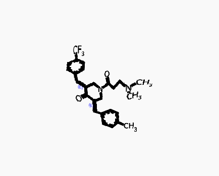 Cc1ccc(/C=C2\CN(C(=O)CCN(C)C)C/C(=C\c3ccc(C(F)(F)F)cc3)C2=O)cc1